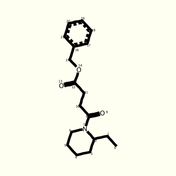 CCC1CCCCN1C(=O)CCC(=O)OCc1ccccc1